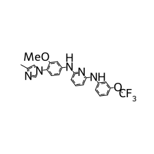 COc1cc(Nc2cccc(Nc3cccc(OC(F)(F)F)c3)n2)ccc1-n1cnc(C)c1